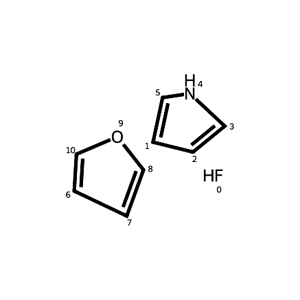 F.c1cc[nH]c1.c1ccoc1